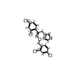 Clc1ccc(CON=C(Cn2cncn2)c2ccc(Cl)cc2Cl)c(Cl)c1